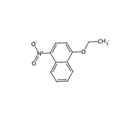 [CH2]COc1ccc([N+](=O)[O-])c2ccccc12